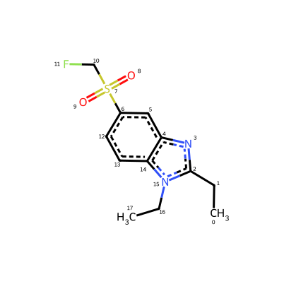 CCc1nc2cc(S(=O)(=O)CF)ccc2n1CC